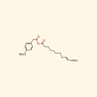 CCCCCCC=CCCCCCCCC(=O)OC(=O)Cc1ccc(OC)cc1